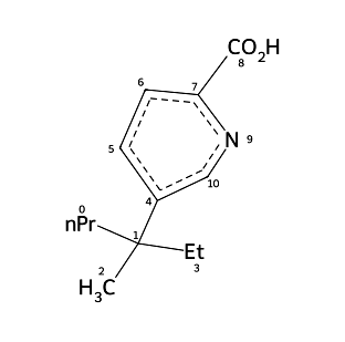 CCCC(C)(CC)c1ccc(C(=O)O)nc1